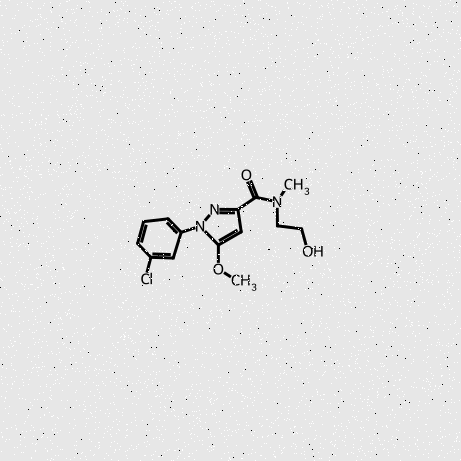 COc1cc(C(=O)N(C)CCO)nn1-c1cccc(Cl)c1